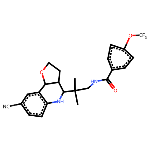 CC(C)(CNC(=O)c1ccc(OC(F)(F)F)cc1)C1Nc2ccc(C#N)cc2C2OCCC21